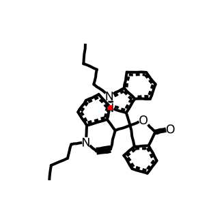 CCCCN1C#CC(C2(c3nn(CCCC)c4ccccc34)OC(=O)c3ccccc32)c2ccccc21